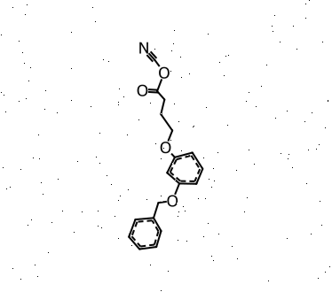 N#COC(=O)CCCOc1cccc(OCc2ccccc2)c1